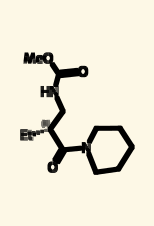 CC[C@H](CNC(=O)OC)C(=O)N1CCCCC1